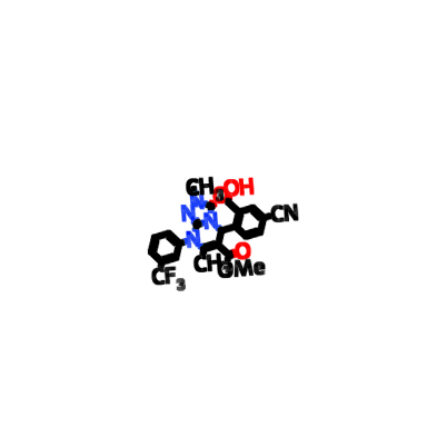 COC(=O)C1=C(C)N(c2cccc(C(F)(F)F)c2)c2nn(C)c(=O)n2C1c1ccc(C#N)cc1CO